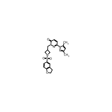 Cc1cc(C)n(-c2ccc(=O)n(CC3CN(S(=O)(=O)c4ccc5c(c4)CCO5)C3)n2)n1